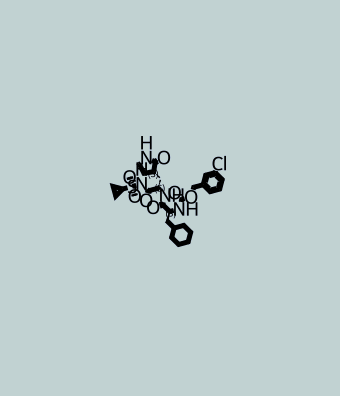 O=C(N[C@@H](CC1CCCCC1)C(=O)N[C@@H](C[C@@H]1CCNC1=O)C(=O)NS(=O)(=O)C1CC1)OCc1cccc(Cl)c1